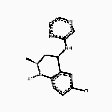 CC(=O)N1c2ccc(Cl)cc2[C@H](Nc2cnccn2)C[C@@H]1C